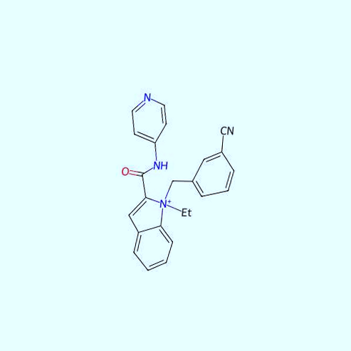 CC[N+]1(Cc2cccc(C#N)c2)C(C(=O)Nc2ccncc2)=Cc2ccccc21